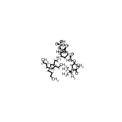 CCCC[N+](CCCC)(CCCC)CCCC.C[C@@H](CN(C(=O)[O-])C(C)(C)C)ONC(=O)[C@@H]1CC[C@@H]2CN1C(=O)N2OS(=O)(=O)O